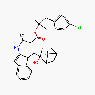 CCC(CC(=O)OC(C)(C)Cc1ccc(Cl)cc1)NC1=Cc2ccccc2C1CC1(O)CCC2CC1C2(C)C